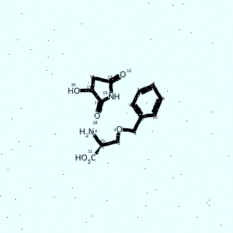 N[C@@H](COCc1ccccc1)C(=O)O.O=C1CC(O)C(=O)N1